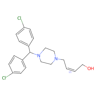 OC/C=C\CN1CCN(C(c2ccc(Cl)cc2)c2ccc(Cl)cc2)CC1